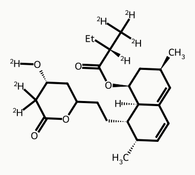 [2H]O[C@@H]1CC(CC[C@@H]2[C@@H]3C(=C[C@H](C)C[C@@H]3OC(=O)[C@]([2H])(CC)C([2H])([2H])[2H])C=C[C@@H]2C)OC(=O)C1([2H])[2H]